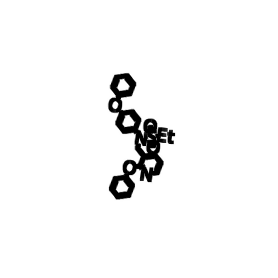 CCS(=O)(=O)N(Cc1cccnc1Oc1ccccc1)c1ccc(Oc2ccccc2)cc1